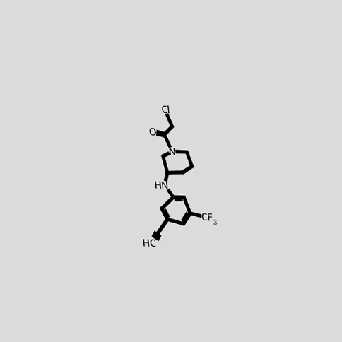 C#Cc1cc(NC2CCCN(C(=O)CCl)C2)cc(C(F)(F)F)c1